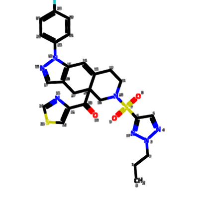 CCCn1ncc(S(=O)(=O)N2CCC3=Cc4c(cnn4-c4ccc(F)cc4)CC3(C(=O)c3cscn3)C2)n1